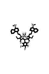 CCC1=C(C)C2=C(c3c(F)c(F)c(F)c(F)c3F)c3c(C)c(CC)c(/C=C/c4ccc(N(C)C)c5ccccc45)n3[B-](F)(F)[N+]2=C1/C=C/c1ccc(N(C)C)c2ccccc12